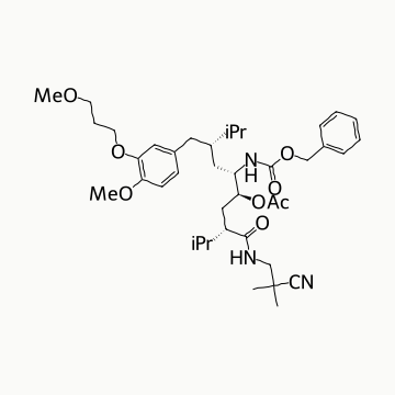 COCCCOc1cc(C[C@@H](C[C@H](NC(=O)OCc2ccccc2)[C@H](C[C@H](C(=O)NCC(C)(C)C#N)C(C)C)OC(C)=O)C(C)C)ccc1OC